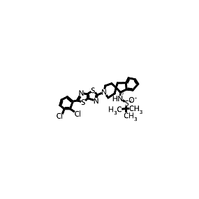 CC(C)(C)[S+]([O-])N[C@@H]1c2ccccc2CC12CCN(c1nc3sc(-c4cccc(Cl)c4Cl)nc3s1)CC2